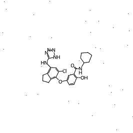 O=C(NC1CCCCC1)c1cc(Oc2c(Cl)cc(Nc3nnn[nH]3)c3c2CCC3)ccc1O